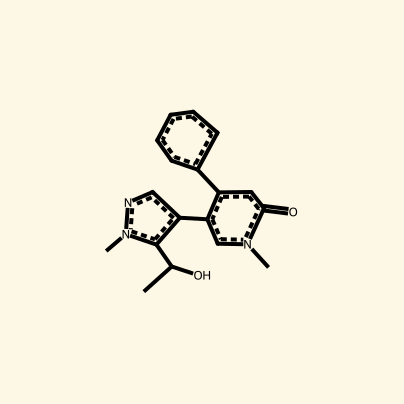 CC(O)c1c(-c2cn(C)c(=O)cc2-c2ccccc2)cnn1C